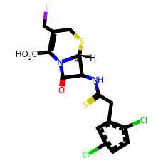 O=C(O)C1=C(CI)CS[C@@H]2C(NC(=S)Cc3cc(Cl)ccc3Cl)C(=O)N12